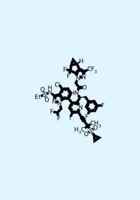 CCS(=O)(=O)Nc1nn(CC(F)F)c2c(-c3cc(I)c(C#CC(C)(C)S(=O)(=O)C4CC4)nc3[C@H](Cc3cc(F)cc(F)c3)NC(=O)Cn3nc(C(F)(F)F)c4c3C(F)(F)C3C[C@H]43)ccc(Cl)c12